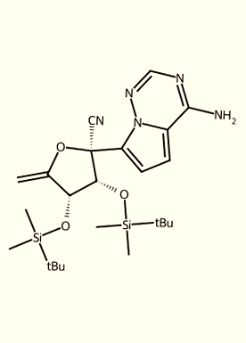 C=C1O[C@@](C#N)(c2ccc3c(N)ncnn23)[C@H](O[Si](C)(C)C(C)(C)C)[C@@H]1O[Si](C)(C)C(C)(C)C